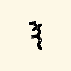 CCOC(=S)C[Si](C)(C)OC